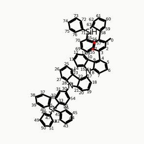 Cc1cc(-c2cccc3c2c2ccccc2n3-c2cccc3c2c2ccccc2n3-c2ccc([Si](c3ccccc3)(c3ccccc3)c3ccccc3)cc2)ccc1-c1ccccc1[SiH](c1ccccc1)c1ccccc1